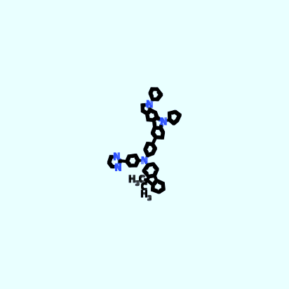 CC1(C)c2ccccc2-c2ccc(N(c3ccc(-c4ccc5c(c4)c4cc6ccn(-c7ccccc7)c6cc4n5-c4ccccc4)cc3)c3ccc(-c4ncccn4)cc3)cc21